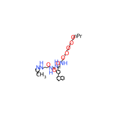 CCCOCCOCCOCCOCCOCCNC(=O)C[C@H](NC(=O)CNC(=O)CCCNc1cc(C)ccn1)c1ccc(-c2cccc3ccccc23)cc1